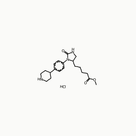 COC(=O)CCCCC1CNC(=O)N1c1ccc(C2CCNCC2)cc1.Cl